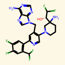 Nc1ncnc2c1ncn2Cc1cc(-c2cc(F)c(F)cc2C(F)F)ncc1N1CCCC(N)([C@H](O)C(F)F)C1